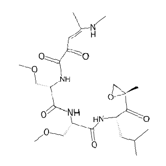 CN/C(C)=C\C(=O)C(=O)N[C@@H](COC)C(=O)N[C@@H](COC)C(=O)N[C@@H](CC(C)C)C(=O)[C@@]1(C)CO1